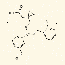 O=Cc1cccc([C@@H](CCc2ccccc2Br)SCC2(CC(=O)O)CC2)c1